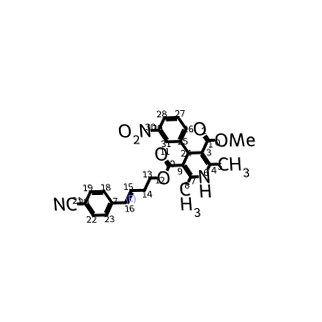 COC(=O)C1=C(C)NC(C)=C(C(=O)OCC/C=C/c2ccc(C#N)cc2)C1c1cccc([N+](=O)[O-])c1